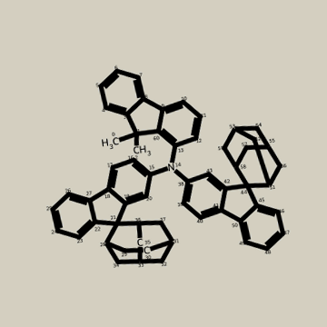 CC1(C)c2ccccc2-c2cccc(N(c3ccc4c(c3)C3(c5ccccc5-4)C4CCC5CC(C4)CC3C5)c3ccc4c(c3)C3(c5ccccc5-4)C4CC5CC(C4)CC3C5)c21